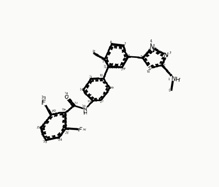 CNc1nnc(-c2ccc(C)c(-c3ccc(NC(=O)c4c(F)cccc4F)cc3)c2)s1